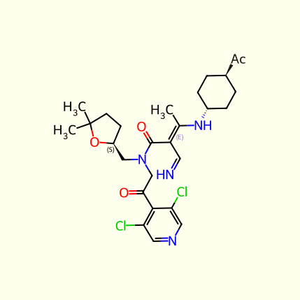 C/C(N[C@H]1CC[C@H](C(C)=O)CC1)=C(/C=N)C(=O)N(CC(=O)c1c(Cl)cncc1Cl)C[C@@H]1CCC(C)(C)O1